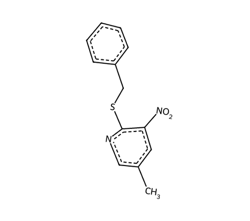 Cc1cnc(SCc2ccccc2)c([N+](=O)[O-])c1